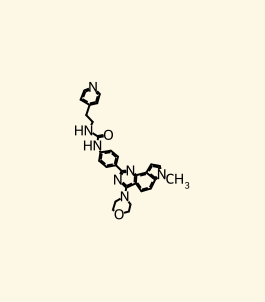 Cn1ccc2c3nc(-c4ccc(NC(=O)NCCc5ccncc5)cc4)nc(N4CCOCC4)c3ccc21